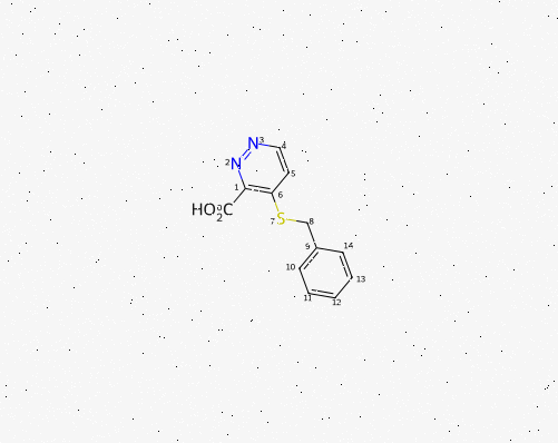 O=C(O)c1nnccc1SCc1ccccc1